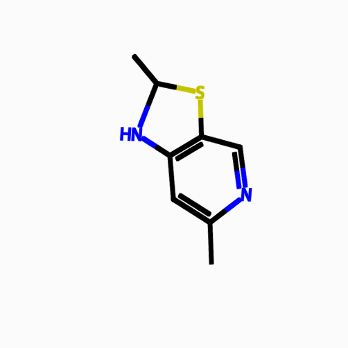 Cc1cc2c(cn1)SC(C)N2